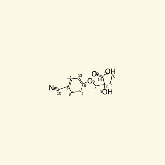 CCC(O)(COc1ccc(C#N)cc1)C(=O)O